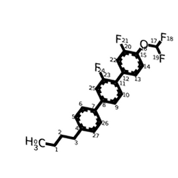 CCCCc1ccc(-c2ccc(-c3ccc(OC(F)F)c(F)c3)c(F)c2)cc1